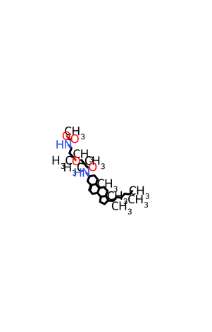 COC(=O)NCCC(C)(C)OCC(C)(C)C(=O)NC1CCC2(C)C(=CCC3C2CCC2(C)C(C(C)CCCC(C)C)CCC32)C1